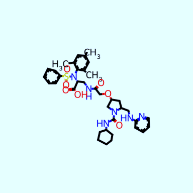 Cc1cc(C)c(N(C(CNC(=O)COC2CC(CNc3ccccn3)N(C(=O)NC3CCCCC3)C2)C(=O)O)S(=O)(=O)c2ccccc2)c(C)c1